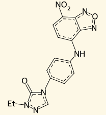 CCn1ncn(-c2ccc(Nc3ccc([N+](=O)[O-])c4nonc34)cc2)c1=O